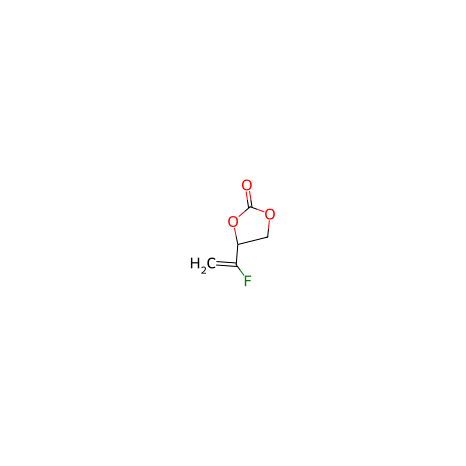 C=C(F)C1COC(=O)O1